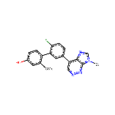 CCn1cnc2c(-c3ccc(F)c(-c4ccc(O)cc4OC)c3)cnnc21